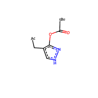 CC(=O)Cc1c[nH]nc1OC(=O)C(C)(C)C